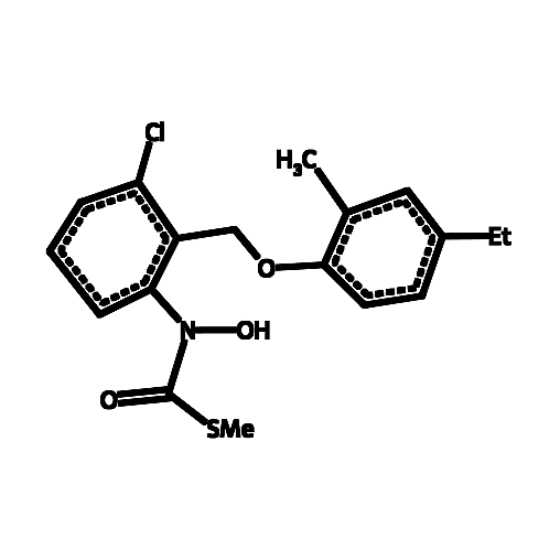 CCc1ccc(OCc2c(Cl)cccc2N(O)C(=O)SC)c(C)c1